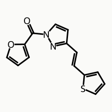 O=C(c1ccco1)n1ccc(C=Cc2cccs2)n1